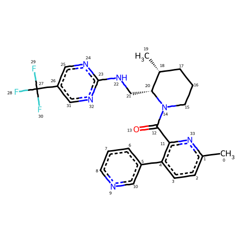 Cc1ccc(-c2cccnc2)c(C(=O)N2CCC[C@@H](C)[C@H]2CNc2ncc(C(F)(F)F)cn2)n1